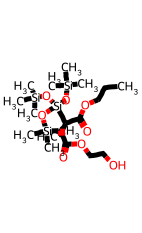 C=C(C(=O)OCCO)C(C(=O)OCCC)[Si](O[Si](C)(C)C)(O[Si](C)(C)C)O[Si](C)(C)C